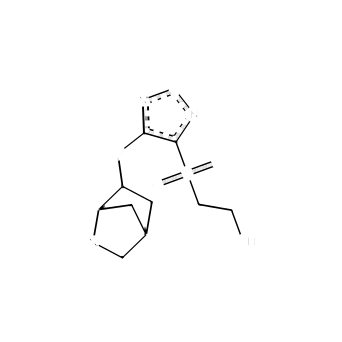 CCCS(=O)(=O)c1nsnc1OC1CC2CNC1C2